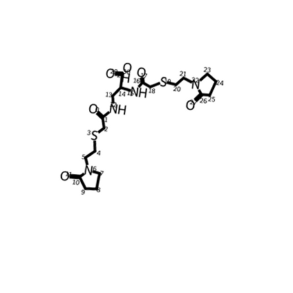 O=C(CSCCN1CCCC1=O)NCC(NC(=O)CSCCN1CCCC1=O)C(=O)O